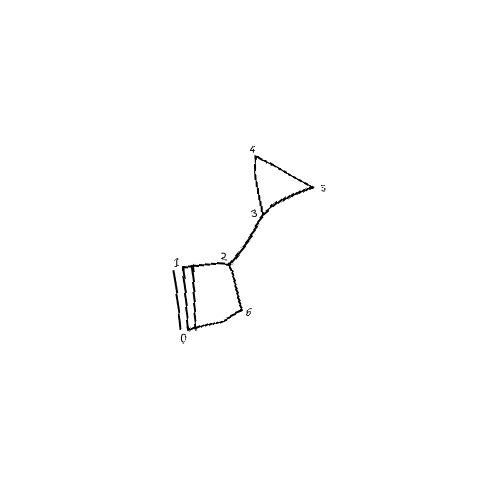 C1#CC(C2CC2)C1